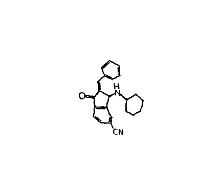 N#Cc1ccc2c(c1)C(NC1CCCCC1)/C(=C\c1ccccc1)C2=O